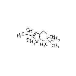 CC(C)(C)c1cc2c(s1)CC(C)(C(C)(C)C)CC2